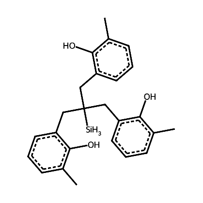 Cc1cccc(CC([SiH3])(Cc2cccc(C)c2O)Cc2cccc(C)c2O)c1O